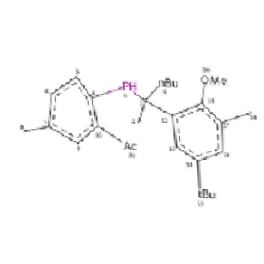 CCCCC(C)(Pc1ccc(C)cc1C(C)=O)c1cc(C(C)(C)C)cc(C)c1OC